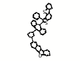 c1ccc(-c2c(-c3c4ccccc4c(-c4cccc(-c5ccc6cc7oc8ccccc8c7cc6c5)c4)c4ccccc34)sc3ccc4c5ccccc5sc4c23)cc1